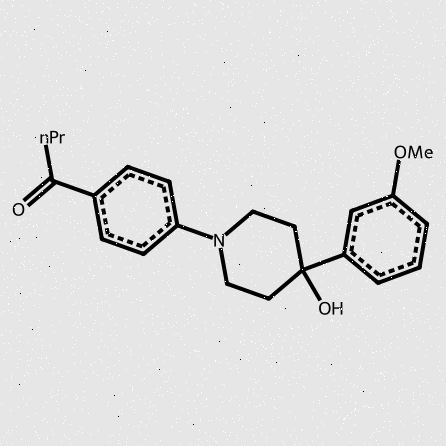 CCCC(=O)c1ccc(N2CCC(O)(c3cccc(OC)c3)CC2)cc1